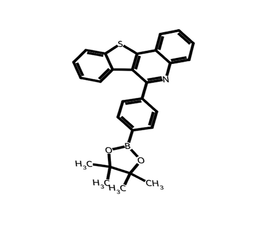 CC1(C)OB(c2ccc(-c3nc4ccccc4c4sc5ccccc5c34)cc2)OC1(C)C